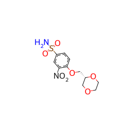 NS(=O)(=O)c1ccc(OC[C@H]2COCCO2)c([N+](=O)[O-])c1